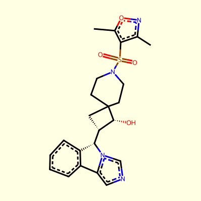 Cc1noc(C)c1S(=O)(=O)N1CCC2(CC1)C[C@@H]([C@H]1c3ccccc3-c3cncn31)[C@H]2O